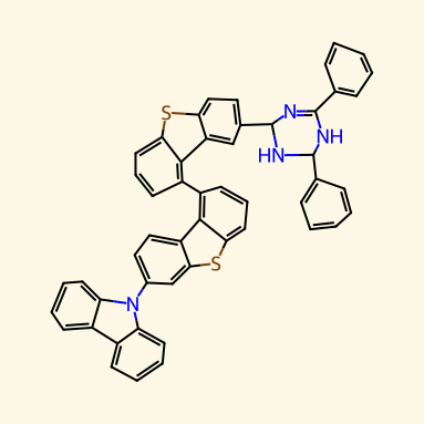 c1ccc(C2=NC(c3ccc4sc5cccc(-c6cccc7sc8cc(-n9c%10ccccc%10c%10ccccc%109)ccc8c67)c5c4c3)NC(c3ccccc3)N2)cc1